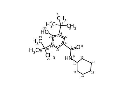 CC(C)(C)c1cc(C(=O)NC2CCCCC2)cc(C(C)(C)C)c1O